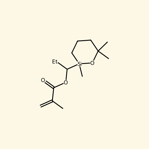 C=C(C)C(=O)OC(CC)[Si]1(C)CCCC(C)(C)O1